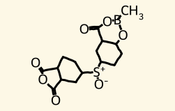 CB1OC(=O)C2CC([S+]([O-])C3CCC4C(=O)OC(=O)C4C3)CCC2O1